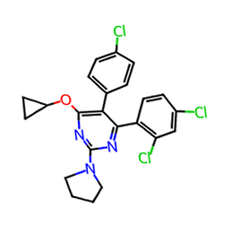 Clc1ccc(-c2c(OC3CC3)nc(N3CCCC3)nc2-c2ccc(Cl)cc2Cl)cc1